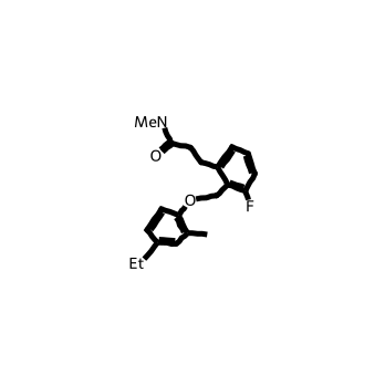 CCc1ccc(OCc2c(F)cccc2CCC(=O)NC)c(C)c1